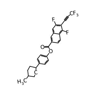 CC1CCC(c2ccc(OC(=O)c3ccc4c(F)c(C#CC(F)(F)F)c(F)cc4c3)cc2)CC1